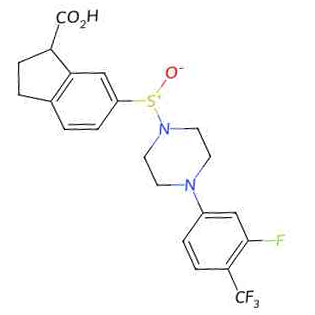 O=C(O)C1CCc2ccc([S+]([O-])N3CCN(c4ccc(C(F)(F)F)c(F)c4)CC3)cc21